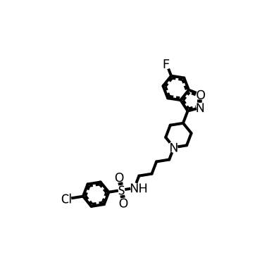 O=S(=O)(NCCCCN1CCC(c2noc3cc(F)ccc23)CC1)c1ccc(Cl)cc1